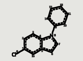 Clc1ccc2c(ccn2-c2ccccc2)c1